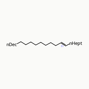 [CH2]CCCCCC/C=C/CCCCCCCCCCCCCCCCC[CH2]